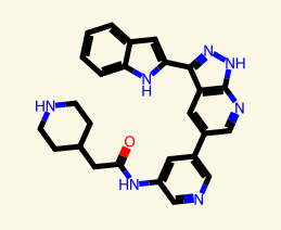 O=C(CC1CCNCC1)Nc1cncc(-c2cnc3[nH]nc(-c4cc5ccccc5[nH]4)c3c2)c1